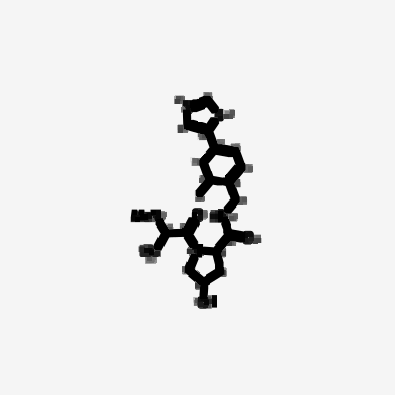 CNC(C(=O)N1CC(O)CC1C(=O)NCC1=CC=C(c2cncs2)CC1C)C(C)(C)C